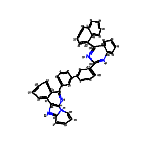 c1cc(-c2cccc(-c3nc4c(nc5ccccn54)c4ccccc34)c2)cc(-c2nc(-c3cccc4ccccc34)c3ccccc3n2)c1